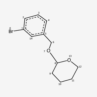 Brc1cccc(COC2CCCCO2)c1